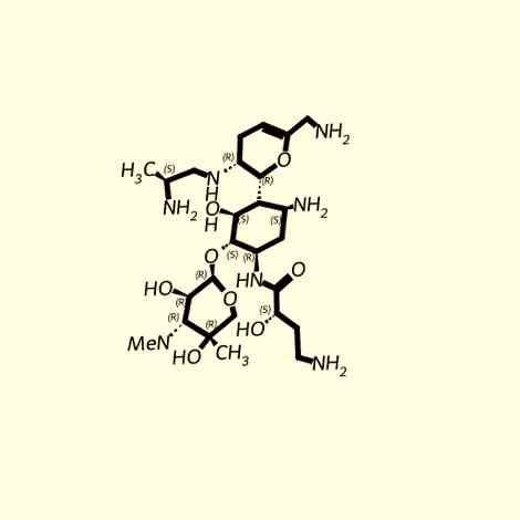 CN[C@@H]1[C@@H](O)[C@@H](O[C@H]2[C@H](NC(=O)[C@@H](O)CCN)C[C@H](N)C([C@H]3OC(CN)=CC[C@H]3NC[C@H](C)N)[C@@H]2O)OC[C@]1(C)O